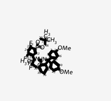 COc1ccc(C(NC2=N[C@](C)(c3cc(B4OCC(C)(C)CO4)c(F)cc3F)C(F)(F)CO2)(c2ccccc2)c2ccc(OC)cc2)cc1